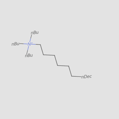 CCCCCCCCCCCCCCCC[N+](CCCC)(CCCC)CCCC